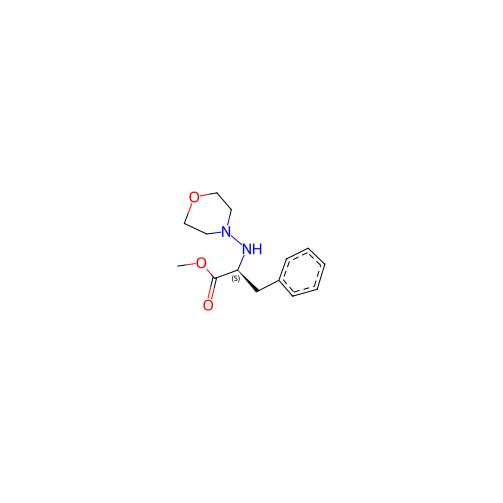 COC(=O)[C@H](Cc1ccccc1)NN1CCOCC1